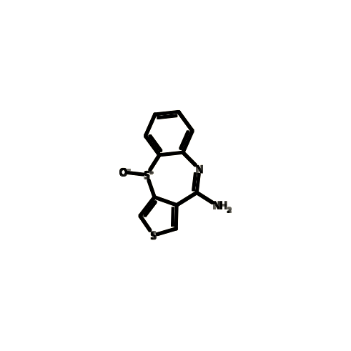 NC1=Nc2ccccc2[S+]([O-])c2cscc21